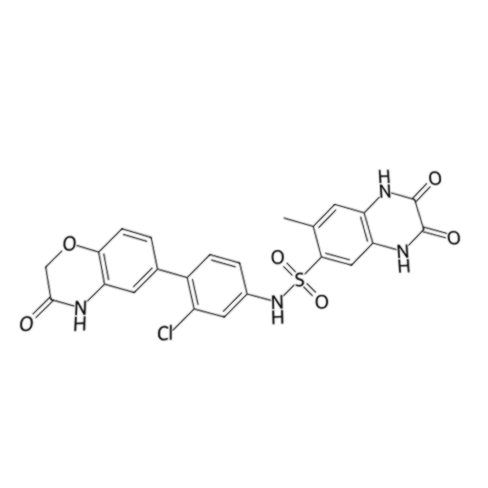 Cc1cc2[nH]c(=O)c(=O)[nH]c2cc1S(=O)(=O)Nc1ccc(-c2ccc3c(c2)NC(=O)CO3)c(Cl)c1